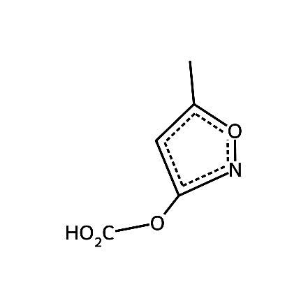 Cc1cc(OC(=O)O)no1